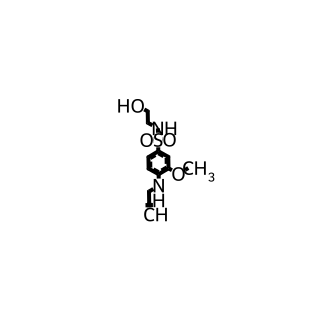 C#CCNc1ccc(S(=O)(=O)NCCO)cc1OC